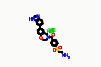 Cl.Cl.NCCS(=O)(=O)c1ccc(C(=O)N2CCOc3ccc(-c4ccc5nc[nH]c5c4)cc3C2)cc1